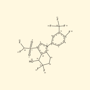 O=S(=O)(c1cn(-c2ccc(F)c(C(F)(F)F)c2)c2c1C(O)C(F)(F)CC2)C(F)F